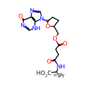 CC(C)[C@H](NC(=O)CCC(=O)OCC1CC[C@H](n2cnc3c(=O)nc[nH]c32)O1)C(=O)O